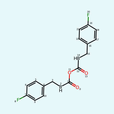 O=C(BCc1ccc(F)cc1)OC(=O)BCc1ccc(F)cc1